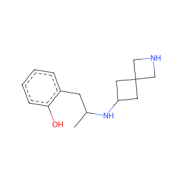 CC(Cc1ccccc1O)NC1CC2(CNC2)C1